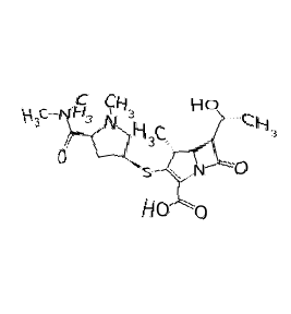 C[C@H]1C(S[C@H]2C[C@@H](C(=O)N(C)C)N(C)C2)=C(C(=O)O)N2C(=O)[C@H]([C@@H](C)O)C12